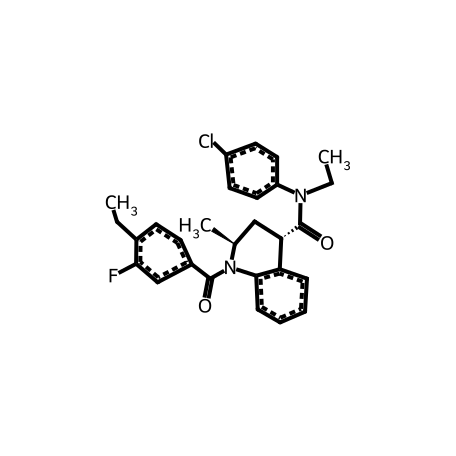 CCc1ccc(C(=O)N2c3ccccc3[C@@H](C(=O)N(CC)c3ccc(Cl)cc3)C[C@@H]2C)cc1F